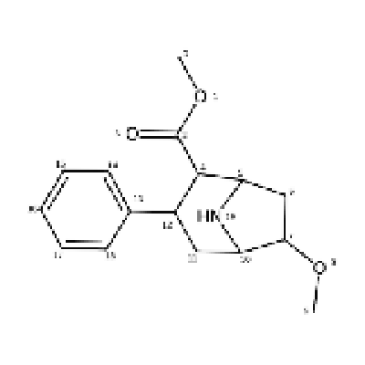 COC(=O)C1C2CC(OC)C(CC1c1ccccc1)N2